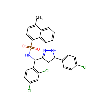 Cc1ccc(S(=O)(=O)NC(C2=NNC(c3ccc(Cl)cc3)C2)c2ccc(Cl)cc2Cl)c2ccccc12